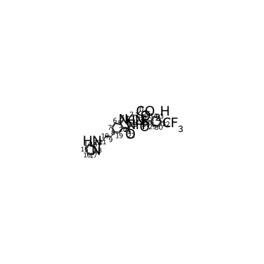 O=C(O)[C@H](Cc1nc2ccc(C=CCNc3ccccn3)cc2c(=O)[nH]1)NS(=O)(=O)c1ccc(C(F)(F)F)cc1